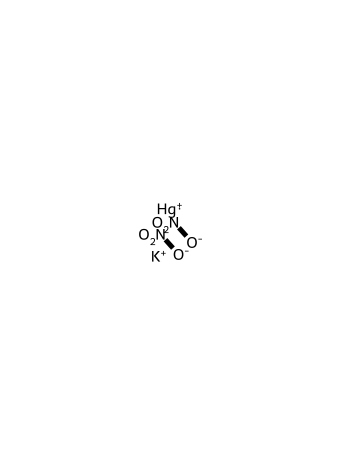 O=[N+]([O-])[O-].O=[N+]([O-])[O-].[Hg+].[K+]